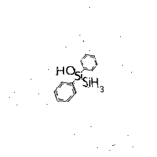 O[Si]([SiH3])(c1ccccc1)c1ccccc1